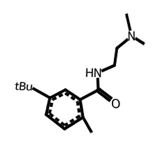 Cc1ccc(C(C)(C)C)cc1C(=O)NCCN(C)C